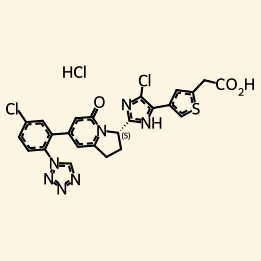 Cl.O=C(O)Cc1cc(-c2[nH]c([C@@H]3CCc4cc(-c5cc(Cl)ccc5-n5cnnn5)cc(=O)n43)nc2Cl)cs1